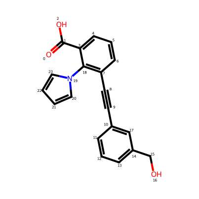 O=C(O)c1cccc(C#Cc2cccc(CO)c2)c1-n1cccc1